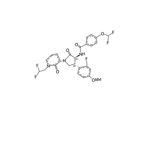 COc1ccc([C@@H]2CN(c3cccn(CC(F)F)c3=O)C(=O)[C@H]2NC(=O)c2ccc(OC(F)F)cc2)c(F)c1